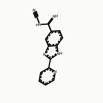 N#CNC(=N)c1ccc2[nH]c(-c3ccccn3)nc2c1